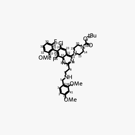 COc1ccc(CNCCc2nc(N3CCN(C(=O)OC(C)(C)C)CC3)c3cc(Cl)c(-c4c(F)cccc4OC)c(F)c3n2)c(OC)c1